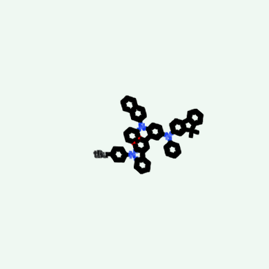 CC(C)(C)c1ccc(-n2c3ccccc3c3cc(-c4cc(N(c5ccccc5)c5ccc6c(c5)C(C)(C)c5ccccc5-6)ccc4N(c4ccccc4)c4ccc5ccccc5c4)ccc32)cc1